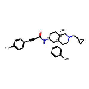 CC(=O)Oc1cccc([C@@]23CCN(CC4CC4)C[C@@]2(OC(C)=O)CC[C@H](NC(=O)C#Cc2ccc(C(F)(F)F)cc2)C3)c1